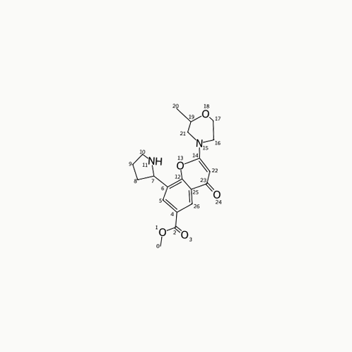 COC(=O)c1cc(C2CCCN2)c2oc(N3CCOC(C)C3)cc(=O)c2c1